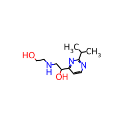 CC(C)c1nccc(C(O)CNCCO)n1